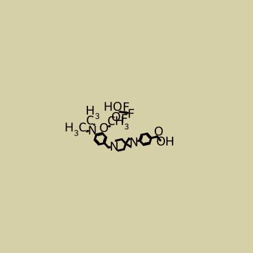 CCOc1cc(CN2CCC3(CC2)CN(c2ccc(C(=O)O)cc2)C3)ccc1N(CC)CC.O=C(O)C(F)(F)F